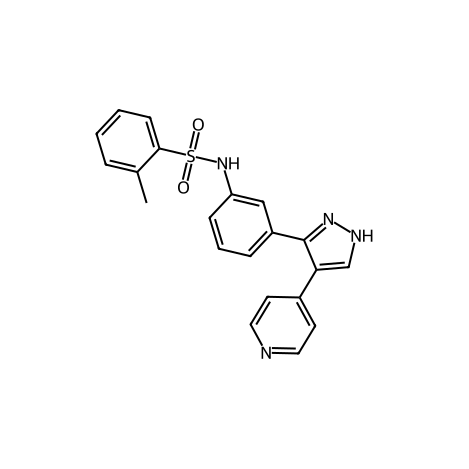 Cc1ccccc1S(=O)(=O)Nc1cccc(-c2n[nH]cc2-c2ccncc2)c1